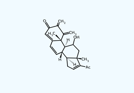 C=C1C(=C)[C@@]2(C)C(=CC1=O)C=C[C@@H]1[C@@H]2C(O)C[C@]2(C)C(C(C)=O)=CC[C@@H]12